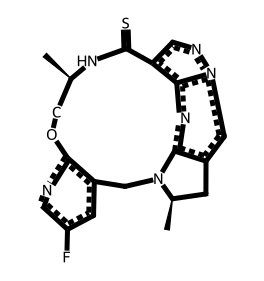 C[C@@H]1COc2ncc(F)cc2CN2c3nc4c(cnn4cc3C[C@H]2C)C(=S)N1